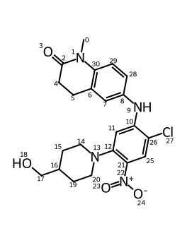 CN1C(=O)CCc2cc(Nc3cc(N4CCC(CO)CC4)c([N+](=O)[O-])cc3Cl)ccc21